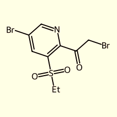 CCS(=O)(=O)c1cc(Br)cnc1C(=O)CBr